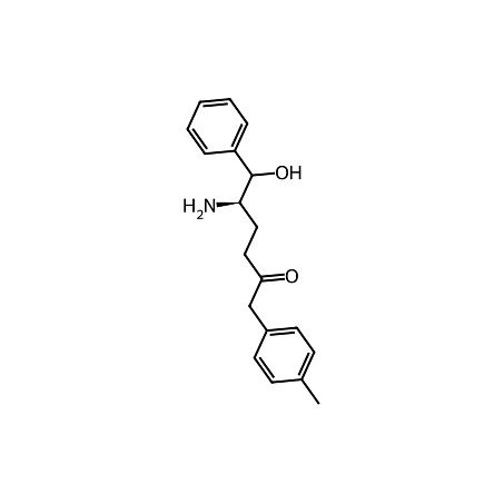 Cc1ccc(CC(=O)CC[C@@H](N)C(O)c2ccccc2)cc1